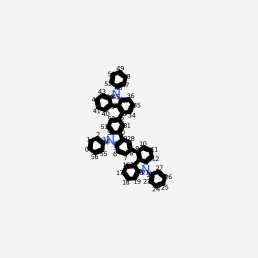 c1ccc(-n2c3ccc(-c4cccc5c4c4ccccc4n5-c4ccccc4)cc3c3cc(-c4cccc5c4c4ccccc4n5-c4ccccc4)ccc32)cc1